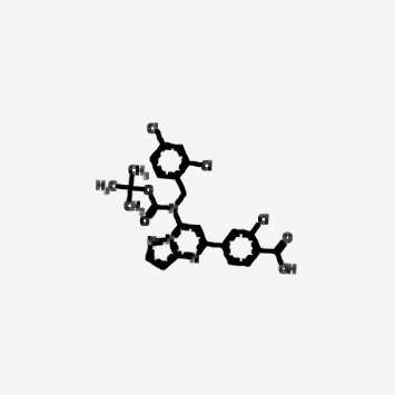 CC(C)(C)OC(=O)N(Cc1ccc(Cl)cc1Cl)c1cc(-c2ccc(C(=O)O)c(Cl)c2)nc2ccnn12